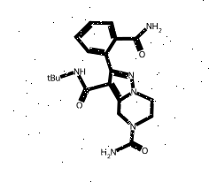 CC(C)(C)NC(=O)c1c(-c2ccccc2C(N)=O)nn2c1CN(C(N)=O)CC2